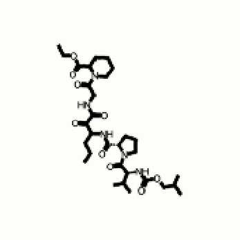 CCCC(NC(=O)[C@@H]1CCCN1C(=O)[C@@H](NC(=O)OCC(C)C)C(C)C)C(=O)C(=O)NCC(=O)N1CCCCC1C(=O)OCC